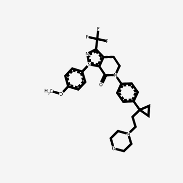 COc1ccc(-n2nc(C(F)(F)F)c3c2C(=O)N(c2ccc(C4(CCN5CCOCC5)CC4)cc2)CC3)cc1